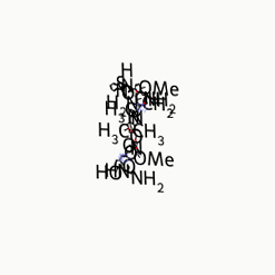 C=C/C=C(/c1cnn(CC23CC4(C)CC(C)(C2)C(OCCN(CCOC)C(=O)OC/C=C/c2ccc(O)c(NC(=O)CCN)c2)(C4)C3)c1C)C(N)C(O)Cc1c(C(=O)Nc2nc3ccccc3s2)ccc(OC)c1CCN